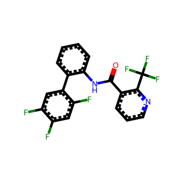 O=C(Nc1ccccc1-c1cc(F)c(F)cc1F)c1cccnc1C(F)(F)F